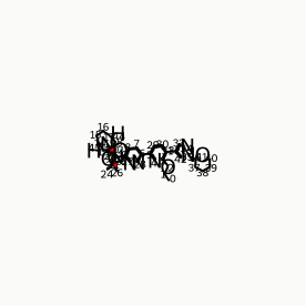 CCOc1nc(-c2ccc(N(C)C3C[C@H]4CC[C@@H](C3)N4C(=O)OC(C)(C)C)nn2)ccc1-c1cnn(C2CCCCO2)c1